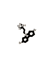 Brc1ccc2c3ccc(Br)cc3n(CCc3nnn[nH]3)c2c1